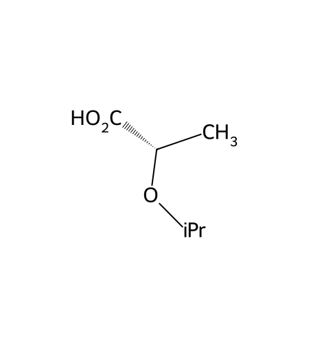 CC(C)O[C@@H](C)C(=O)O